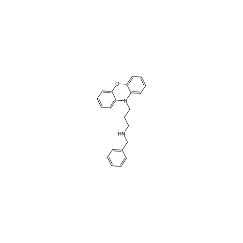 c1ccc(CNCCCN2c3ccccc3Oc3ccccc32)cc1